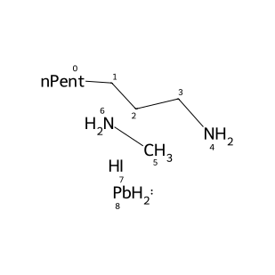 CCCCCCCCN.CN.I.[PbH2]